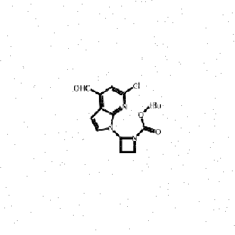 CC(C)(C)OC(=O)N1CCC1n1ccc2c(C=O)cc(Cl)nc21